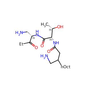 CCCCCCCCC(CN)CC(=O)N[C@H](C(=O)N[C@@H](CN)C(=O)CC)[C@H](C)O